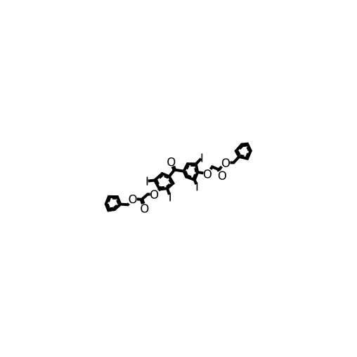 O=C(COc1c(I)cc(C(=O)c2cc(I)c(OCC(=O)OCc3ccccc3)c(I)c2)cc1I)OCc1ccccc1